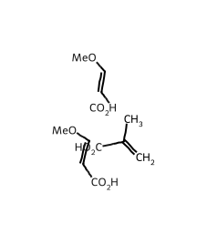 C=C(C)C(=O)O.COC=CC(=O)O.COC=CC(=O)O